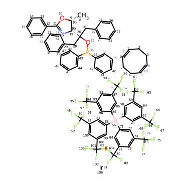 C1=C\CC/C=C\CC/1.C[C@H]1OC(c2ccccc2)=N[C@H]1C(Cc1ccccc1)(Cc1ccccc1)OP(c1ccccc1)c1ccccc1.FC(F)(F)c1cc([B-](c2cc(C(F)(F)F)cc(C(F)(F)F)c2)(c2cc(C(F)(F)F)cc(C(F)(F)F)c2)c2cc(C(F)(F)F)cc(C(F)(F)F)c2)cc(C(F)(F)F)c1.[Ir]